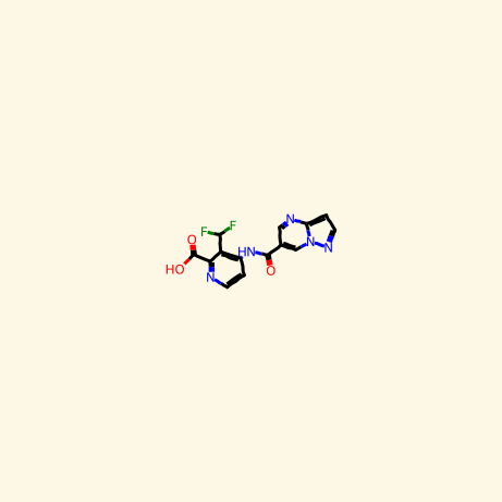 O=C(Nc1ccnc(C(=O)O)c1C(F)F)c1cnc2ccnn2c1